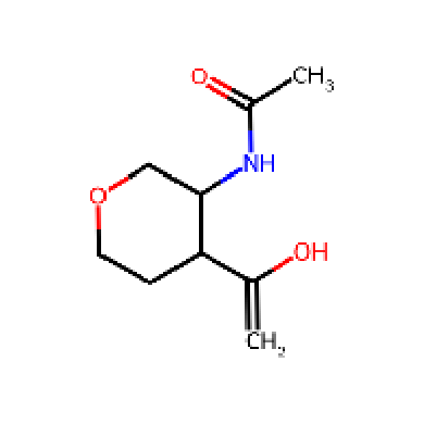 C=C(O)C1CCOCC1NC(C)=O